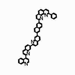 c1ccc(-c2ccc3ccc4ccc(-c5ccc6cc(-c7ccc8ccc(-c9ccc%10ccc(-c%11ccnc%12ccccc%11%12)nc%10c9)nc8c7)ccc6c5)nc4c3n2)cc1